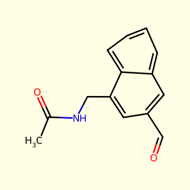 CC(=O)NCc1cc(C=O)cc2ccccc12